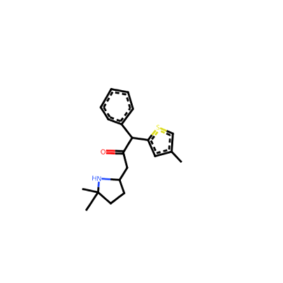 Cc1csc(C(C(=O)CC2CCC(C)(C)N2)c2ccccc2)c1